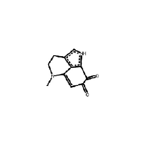 CN1CCc2c[nH]c3c2C1=CC(=O)C3=O